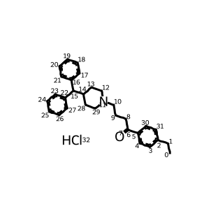 CCc1ccc(C(=O)CCCN2CCC(C(c3ccccc3)c3ccccc3)CC2)cc1.Cl